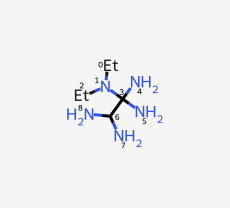 CCN(CC)C(N)(N)C(N)N